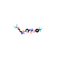 O=C(COc1ccc(C(F)(F)F)cc1)N[C@@H]1CC[C@@H](c2nnc(CCCOC(F)(F)F)o2)OC1